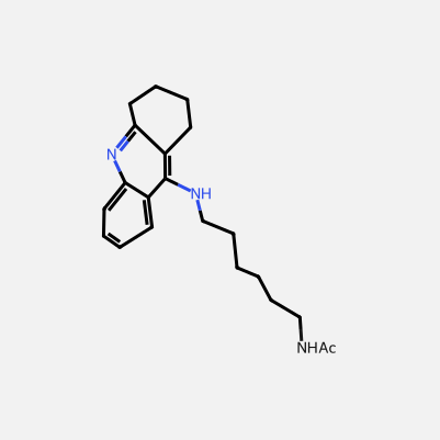 CC(=O)NCCCCCCNc1c2c(nc3ccccc13)CCCC2